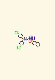 O=S(=O)(NC1CN(C(c2ccc(Cl)cc2)c2ccc(Cl)cc2)C1)c1ccc2ccccc2c1